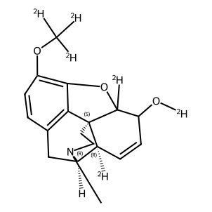 [2H]OC1C=C[C@@]2([2H])[C@H]3Cc4ccc(OC([2H])([2H])[2H])c5c4[C@@]2(CCN3C)C1([2H])O5